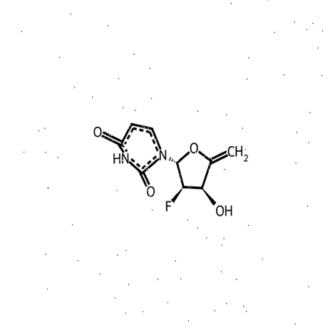 C=C1O[C@@H](n2ccc(=O)[nH]c2=O)[C@H](F)[C@@H]1O